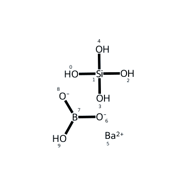 O[Si](O)(O)O.[Ba+2].[O-]B([O-])O